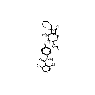 CCOC(=O)[C@H](Cc1ccc(NC(=O)c2c(Cl)cncc2Cl)cc1)NC1=C(F)C(=O)C12CCCCC2